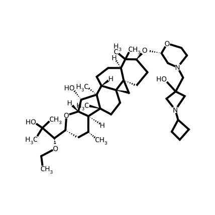 CCO[C@@H]([C@H]1C[C@@H](C)[C@H]2[C@H](O1)[C@H](O)[C@@]1(C)[C@@H]3CC[C@H]4C(C)(C)[C@@H](O[C@H]5CN(CC6(O)CN(C7CCC7)C6)CCO5)CC[C@@]45C[C@@]35CC[C@]21C)C(C)(C)O